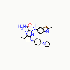 CCc1nc(C(N)=O)c(Nc2ccc3nc(C)sc3c2)nc1NC1CCC(N2CCCC2)CC1